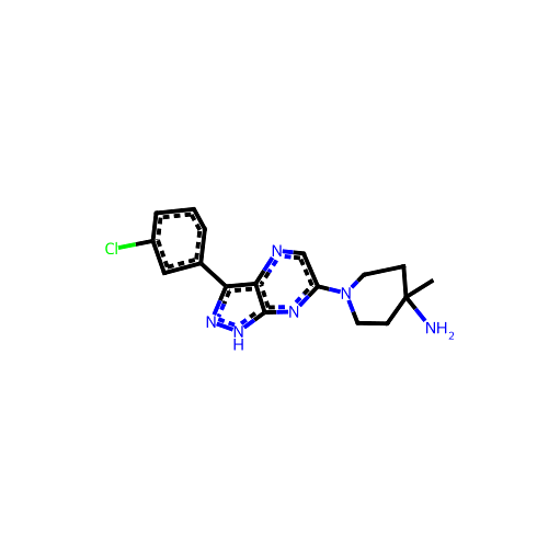 CC1(N)CCN(c2cnc3c(-c4cccc(Cl)c4)n[nH]c3n2)CC1